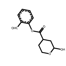 O=Cc1ccccc1OC(=O)C1CCOC(O)C1